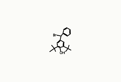 CC(C)(C)c1cc(C(Br)c2ccccc2)cc(C(C)(C)C)c1O